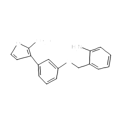 CCOC(=O)c1occc1-c1cccc(OCc2ccccc2N)c1